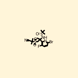 CC(CS(=O)(=O)C(C)(C)C#N)(N[S@+]([O-])C(C)(C)C)c1nc(Br)ccc1F